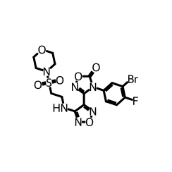 O=c1onc(-c2nonc2NCCS(=O)(=O)N2CCOCC2)n1-c1ccc(F)c(Br)c1